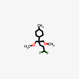 COCC(CCC(F)F)(COC)C1CCC(C)CC1